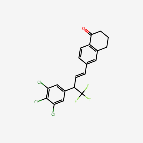 O=C1CCCc2cc(/C=C/C(c3cc(Cl)c(Cl)c(Cl)c3)C(F)(F)F)ccc21